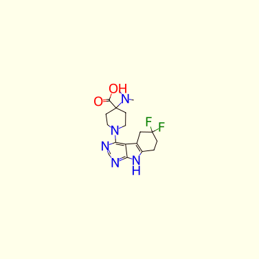 CN(C)C1(C(=O)O)CCN(c2ncnc3[nH]c4c(c23)CC(F)(F)CC4)CC1